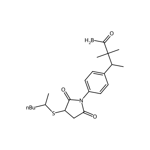 BC(=O)C(C)(C)C(C)c1ccc(N2C(=O)CC(SC(C)CCCC)C2=O)cc1